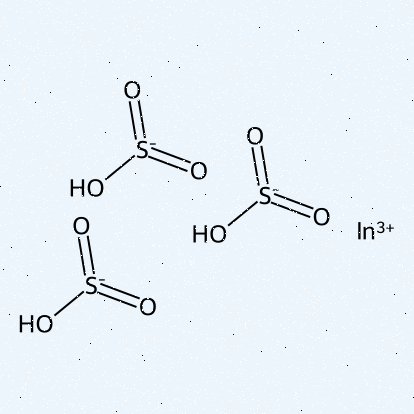 O=[S-](=O)O.O=[S-](=O)O.O=[S-](=O)O.[In+3]